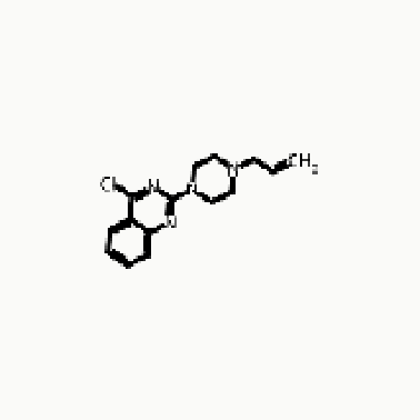 C=CCN1CCN(c2nc(Cl)c3ccccc3n2)CC1